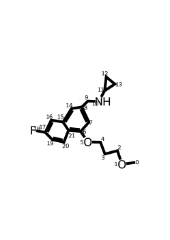 COCCCOc1cc(CNC2CC2)cc2cc(F)ccc12